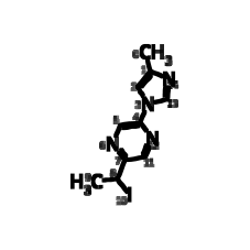 Cc1cn(-c2cnc(C(C)I)cn2)cn1